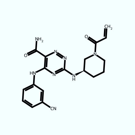 C=CC(=O)N1CCC[C@@H](Nc2nnc(C(N)=O)c(Nc3cccc(C#N)c3)n2)C1